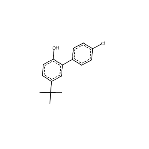 CC(C)(C)c1ccc(O)c(-c2ccc(Cl)cc2)c1